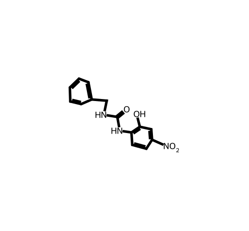 O=C(NCc1ccccc1)Nc1ccc([N+](=O)[O-])cc1O